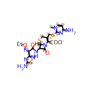 CCO/N=C(\C(=O)NC1C(=O)N2C(C(=O)[O-])=C(CSc3nc(N)cc[n+]3C)CS[C@H]12)c1nsc(N)n1